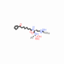 CNC(=N)NCCC[C@H](NC(=O)CCCCCCC(=O)c1ccccc1)C(=O)N[C@@H](CC(C)C)B(O)O